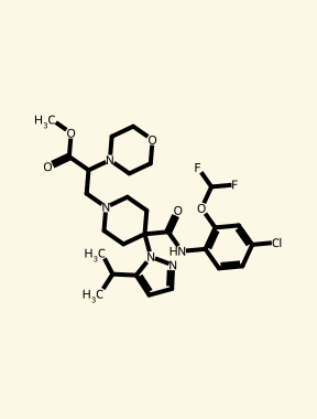 COC(=O)C(CN1CCC(C(=O)Nc2ccc(Cl)cc2OC(F)F)(n2nccc2C(C)C)CC1)N1CCOCC1